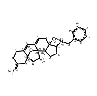 C=C1CCC2=CC3=CCC4(C)C(NCc5cccnc5)CC[C@H]4[C@@]34CC[C@]2(C1)O4